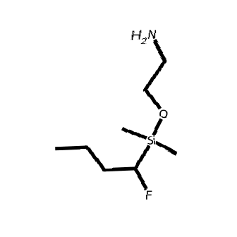 CCCC(F)[Si](C)(C)OCCN